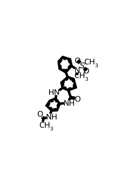 CC(=O)Nc1ccc2c(c1)NC(=O)c1ccc(-c3ccccc3N(C)S(C)(=O)=O)cc1N2